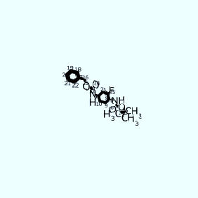 CC(C)(C)OC(=O)N[C@@H]1CC[C@@H](NC(=O)OCc2ccccc2)C[C@@H]1F